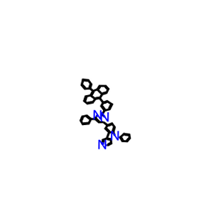 c1ccc(-c2cc(-c3ccc4c(c3)c3cnccc3n4-c3ccccc3)nc(-c3cccc(-c4c5ccccc5c(-c5ccccc5)c5ccccc45)c3)n2)cc1